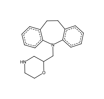 c1ccc2c(c1)CCc1ccccc1N2CC1CNCCO1